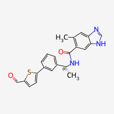 Cc1cc2nc[nH]c2cc1C(=O)N[C@H](C)c1cccc(-c2ccc(C=O)s2)c1